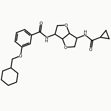 O=C(NC1COC2C(NC(=O)C3CC3)COC12)c1cccc(OCC2CCCCC2)c1